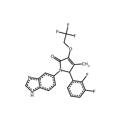 CC1=C(OCC(F)(F)F)C(=O)N(c2ccc3[nH]cnc3c2)C1c1cccc(F)c1F